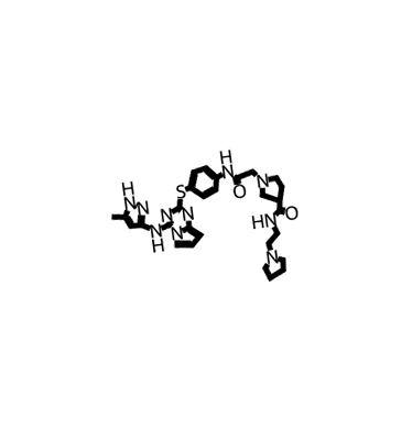 Cc1cc(Nc2nc(Sc3ccc(NC(=O)CN4CCC(C(=O)NCCN5CCCC5)C4)cc3)nc3cccn23)n[nH]1